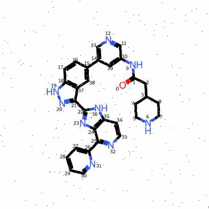 O=C(CC1CCNCC1)Nc1cncc(-c2ccc3[nH]nc(-c4nc5c(-c6ccccn6)nccc5[nH]4)c3c2)c1